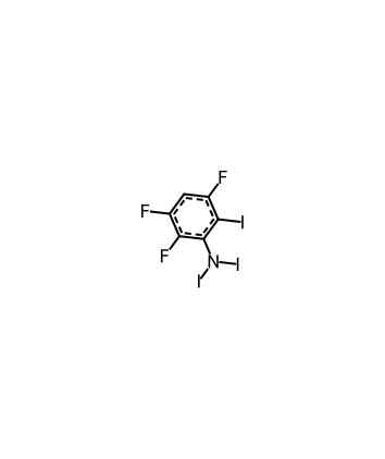 Fc1cc(F)c(I)c(N(I)I)c1F